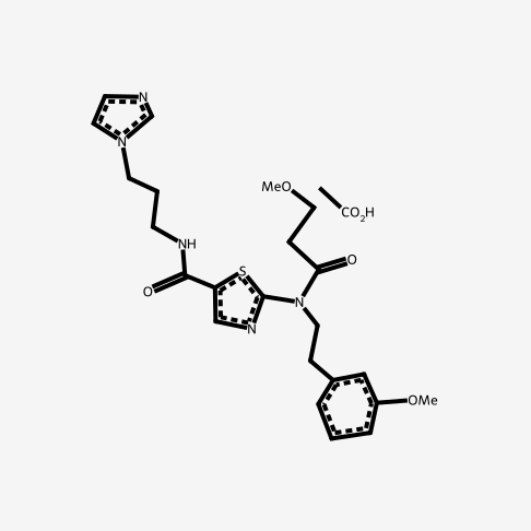 CC(=O)O.COCCC(=O)N(CCc1cccc(OC)c1)c1ncc(C(=O)NCCCn2ccnc2)s1